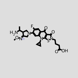 CO/N=C1/CN(c2cc3c(cc2F)c(=O)c2c(=O)n(CCCC(=O)O)sc2n3C2CC2)CC1C(C)N